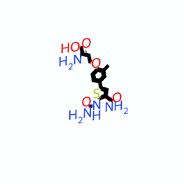 Cc1cc(-c2cc(C(N)=O)c(NC(N)=O)s2)ccc1OCC[C@H](N)C(=O)O